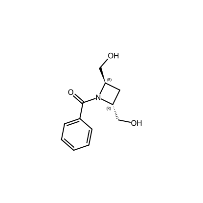 O=C(c1ccccc1)N1[C@@H](CO)C[C@@H]1CO